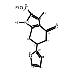 CCOC(=O)c1c(C)c2c(n1CC)CC(c1ccco1)CC2=O